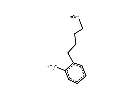 CCCCCCCCCCCCc1ccccc1C(=O)O